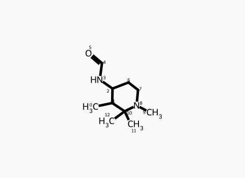 CC1C(NC=O)CCN(C)C1(C)C